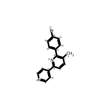 Cc1ccc(-c2ccncc2)nc1-c1ccc(Br)cc1